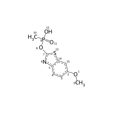 COc1ccc2nc(OP(C)(=O)O)sc2c1